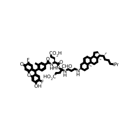 Cc1cc(C(=O)N[C@@H](CCC(=O)O)C(=O)N[C@](C=O)(CCC(=O)O)NCCCN[C@H]2CC[C@@]3(C)C(=CCC4C3CC[C@@]3(C)C4CC[C@@H]3[C@H](C)CCCC(C)C)C2)ccc1-c1c2cc(F)c(=O)cc-2oc2cc(O)c(F)cc12